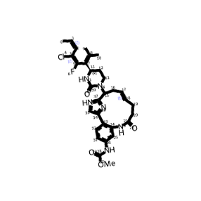 C/C=C\C(Cl)=C(\F)C(=C(C)C)[C@H]1CCN(C2C/C=C/CCC(=O)Nc3cc(NC(=O)OC)ccc3-c3c[nH]c2n3)C(=O)N1